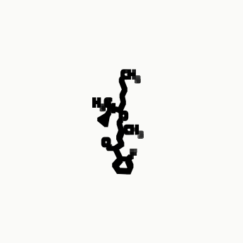 CCCCCC(OC/C(C)=C/CC(C=O)c1ccccc1F)N(C)C1CC1